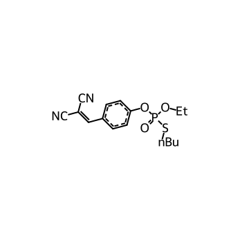 CCCCSP(=O)(OCC)Oc1ccc(C=C(C#N)C#N)cc1